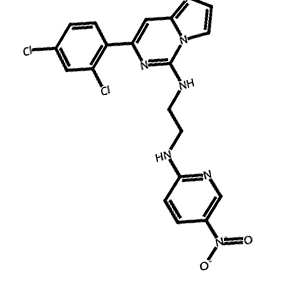 O=[N+]([O-])c1ccc(NCCNc2nc(-c3ccc(Cl)cc3Cl)cc3nccn23)nc1